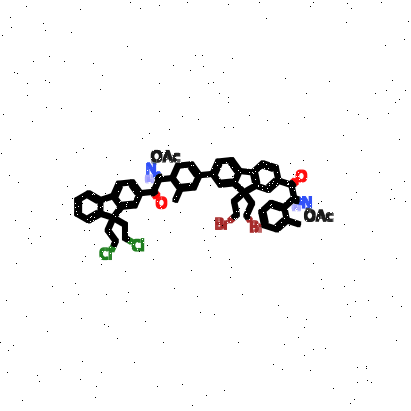 CC(=O)O/N=C(/C(=O)c1ccc2c(c1)C(CCBr)(CCBr)c1cc(C3=CCC(/C(=N\OC(C)=O)C(=O)c4ccc5c(c4)C(CCCl)(CCCl)c4ccccc4-5)C(C)=C3)ccc1-2)c1ccccc1C